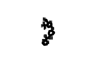 N#Cc1ncc(O[C@H]2CC[C@H](NC(=O)c3ncccn3)CC2)cc1C(F)(F)F